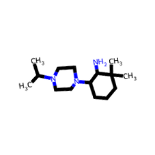 CC(C)N1CCN(C2CCCC(C)(C)C2N)CC1